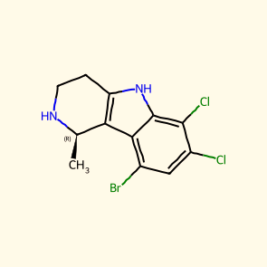 C[C@H]1NCCc2[nH]c3c(Cl)c(Cl)cc(Br)c3c21